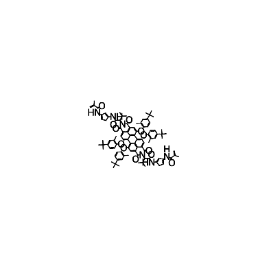 C=C(C)C(=O)NC1=CCC(NC(=O)C(C(C)C)N2C(=O)c3cc(Oc4ccc(C(C)(C)C)cc4C)c4c5c(Oc6ccc(C(C)(C)C)cc6C)cc6c7c(cc(Oc8ccc(C(C)(C)C)cc8C)c(c8c(Oc9ccc(C(C)(C)C)cc9C)cc(c3c48)C2=O)c75)C(=O)N(C(C(=O)NC2=CC(NC(=O)C(=C)C)=CC2)C(C)C)C6=O)=C1